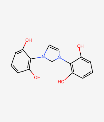 Oc1cccc(O)c1N1C=CN(c2c(O)cccc2O)C1